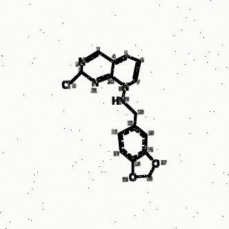 ClC1N=CC2=CC=CN(NCc3ccc4c(c3)OCO4)C2=N1